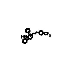 FC(F)(F)c1ccc(CC=CN2CCc3c([nH]c4ccccc34)C2c2ccccc2)cc1